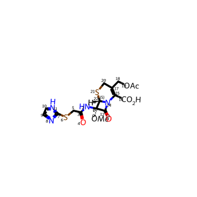 CO[C@@]1(NC(=O)CSc2ncc[nH]2)C(=O)N2C(C(=O)O)=C(COC(C)=O)CS[C@H]21